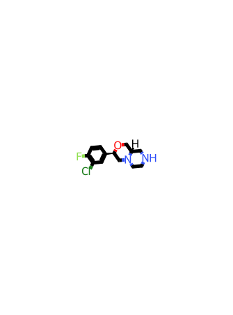 Fc1ccc([C@@H]2CN3CCNC[C@H]3CO2)cc1Cl